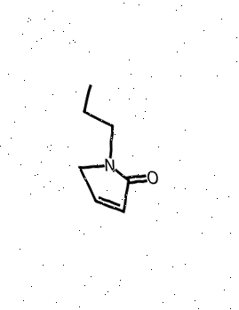 CCCN1CC=CC1=O